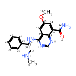 CNC[C@@H](Nc1ncnc2c(C(N)=O)cc(OC)cc12)c1ccccc1